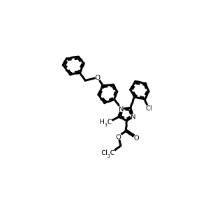 Cc1c(C(=O)OCC(Cl)(Cl)Cl)nc(-c2ccccc2Cl)n1-c1ccc(OCc2ccccc2)cc1